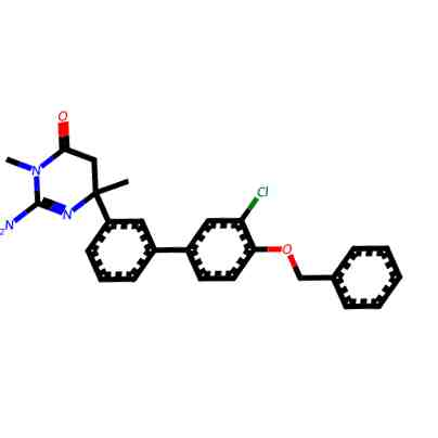 CN1C(=O)CC(C)(c2cccc(-c3ccc(OCc4ccccc4)c(Cl)c3)c2)N=C1N